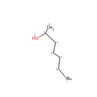 CC(O)CCCCC(C)(C)C